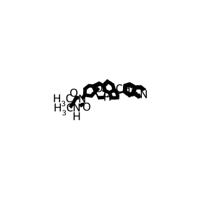 CC1(C)NC(=O)N(C2CCC3=CC4=CC[C@]5(C)[C@@H](c6ccc7ccncc7c6)CC[C@H]5[C@@]45CC[C@]3(C2)O5)C1=O